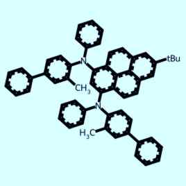 Cc1cc(-c2ccccc2)ccc1N(c1ccccc1)c1cc(N(c2ccccc2)c2ccc(-c3ccccc3)cc2C)c2ccc3cc(C(C)(C)C)cc4ccc1c2c43